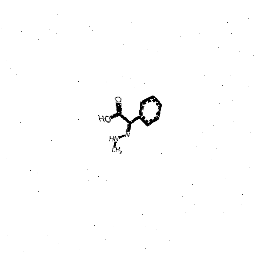 CNN=C(C(=O)O)c1ccccc1